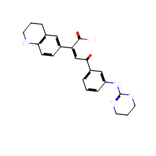 O=C(O)C(=CC(=O)c1cccc(NC2=NCCCN2)c1)c1ccc2c(c1)CCCN2